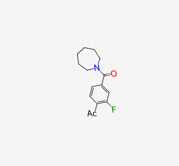 CC(=O)c1ccc(C(=O)N2CCCCCC2)cc1F